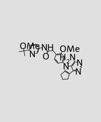 COc1cc(-n2c3c(c4ncnc(N)c42)CCC3)ccc1CC(=O)Nc1ccc(C(C)(C)OC)nc1